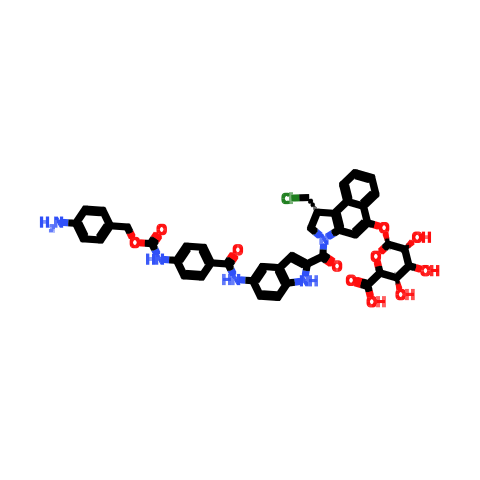 Nc1ccc(COC(=O)Nc2ccc(C(=O)Nc3ccc4[nH]c(C(=O)N5C[C@H](CCl)c6c5cc(O[C@@H]5OC(C(=O)O)[C@H](O)C(O)[C@@H]5O)c5ccccc65)cc4c3)cc2)cc1